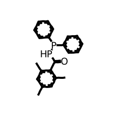 Cc1cc(C)c(C(=O)PP(c2ccccc2)c2ccccc2)c(C)c1